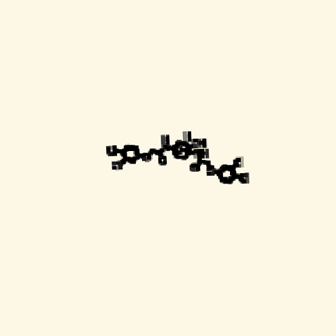 O=C(COc1ccc(Cl)c(Cl)c1)NC12CCC(NC(=O)COc3ccc(Cl)c(Cl)c3)(CC1)[C@H](O)C2